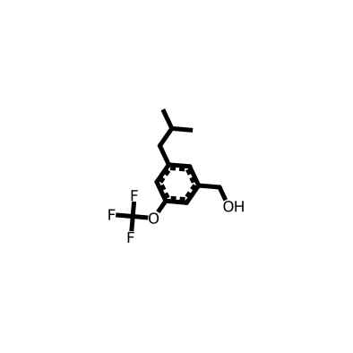 CC(C)Cc1cc(CO)cc(OC(F)(F)F)c1